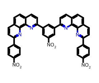 O=[N+]([O-])c1ccc(-c2ccc3ccc4ccc(-c5cc(-c6ccc7ccc8ccc(-c9ccc([N+](=O)[O-])cc9)nc8c7n6)cc([N+](=O)[O-])c5)nc4c3n2)cc1